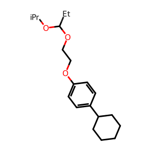 CCC(OCCOc1ccc(C2CCCCC2)cc1)OC(C)C